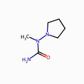 CN(C(N)=O)N1CCCC1